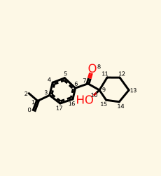 C=C(C)c1ccc(C(=O)C2(O)CCCCC2)cc1